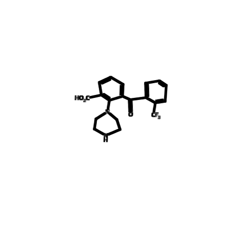 O=C(O)c1cccc(C(=O)c2ccccc2C(F)(F)F)c1N1CCNCC1